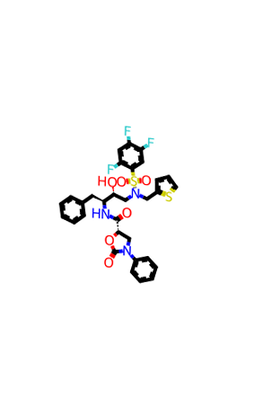 O=C(N[C@@H](Cc1ccccc1)[C@H](O)CN(Cc1cccs1)S(=O)(=O)c1cc(F)c(F)cc1F)[C@@H]1CN(c2ccccc2)C(=O)O1